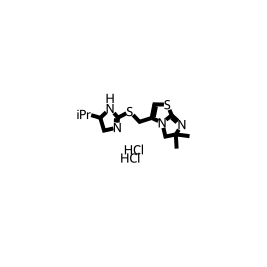 CC(C)C1CN=C(SCC2=CSC3=NC(C)(C)CN23)N1.Cl.Cl